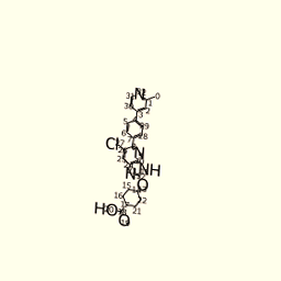 Cc1cc(-c2ccc(-c3nc4[nH]c(O[C@H]5CC[C@H](C(=O)O)CC5)nc4cc3Cl)cc2)ccn1